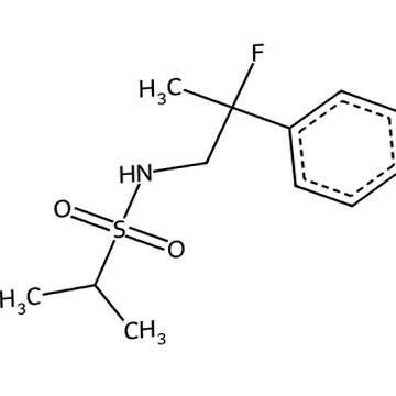 CC(C)S(=O)(=O)NCC(C)(F)c1cc[c]cc1